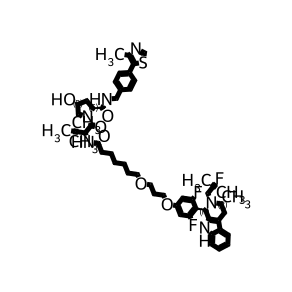 Cc1ncsc1-c1ccc(CNC(=O)[C@@H]2C[C@@H](O)CN2C(=O)C(NC(=O)CCCCCCOCCCOc2cc(F)c([C@@H]3c4[nH]c5ccccc5c4C[C@@H](C)N3CC(C)(C)F)c(F)c2)C(C)(C)C)cc1